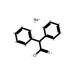 [Na+].[O-]C(=S)C(c1ccccc1)c1ccccc1